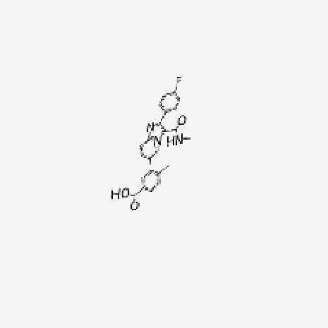 CNC(=O)c1c(-c2ccc(F)cc2)nc2ccc(-c3cc(C(=O)O)ccc3C)cn12